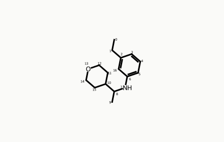 CCc1cccc(NC(C)C2CCOCC2)c1